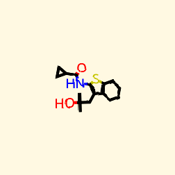 CC(C)(O)Cc1c(NC(=O)C2CC2)sc2c1CCCC2